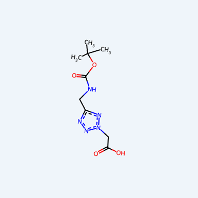 CC(C)(C)OC(=O)NCc1nnn(CC(=O)O)n1